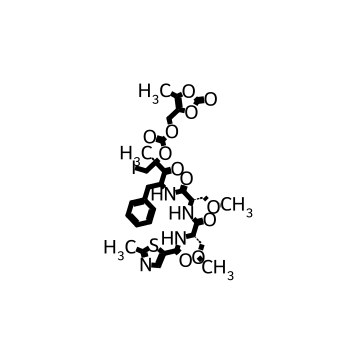 COC[C@H](NC(=O)c1cnc(C)s1)C(=O)N[C@@H](COC)C(=O)NC(Cc1ccccc1)C(=O)[C@@](C)(CI)OC(=O)OCc1oc(=O)oc1C